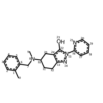 Cc1ccccc1CN(C)C1CCc2nn(-c3ccccn3)c(O)c2C1